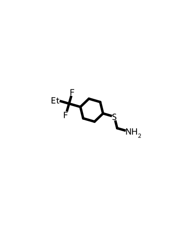 CCC(F)(F)C1CCC(SCN)CC1